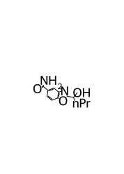 [CH2]CCC(O)c1nc2cc(C(N)=O)ccc2o1